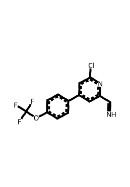 N=Cc1cc(-c2ccc(OC(F)(F)F)cc2)cc(Cl)n1